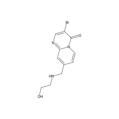 O=c1c(Br)cnc2cc(CNCCO)ccn12